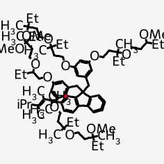 CCC(CCOC(C)(CC)CCOc1cc(CC2(Cc3cc(OCCC(C)(CC)OCCC(C)(CC)OC)cc(OCC(CC)OCCC(C)(CC)OC)c3)C3=C(C=C=C=C3)c3ccc(C(C)(C)/C(C)=C(\C)C(C)C)cc32)cc(OCCC(C)(CC)OCCC(C)(CC)OC)c1)OC